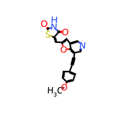 COc1ccc(C#Cc2cncc3cc(C=C4SC(=O)NC4=O)oc23)cc1